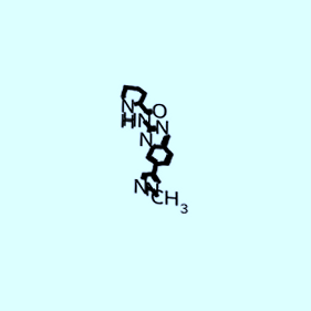 Cn1cc(-c2ccc3cnc(NC(=O)C4CCCCN4)nc3c2)cn1